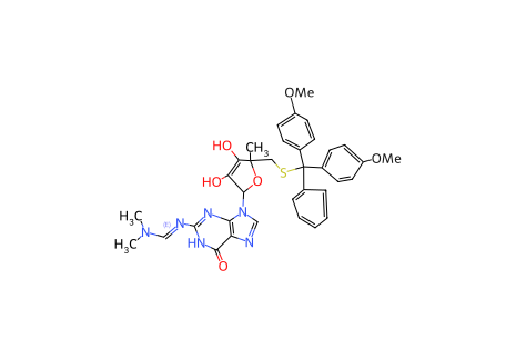 COc1ccc(C(SCC2(C)OC(n3cnc4c(=O)[nH]c(/N=C/N(C)C)nc43)C(O)=C2O)(c2ccccc2)c2ccc(OC)cc2)cc1